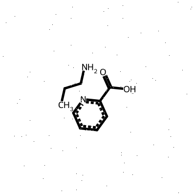 CCCN.O=C(O)c1ccccn1